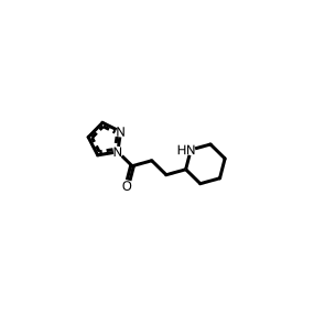 O=C(CCC1CCCCN1)n1cccn1